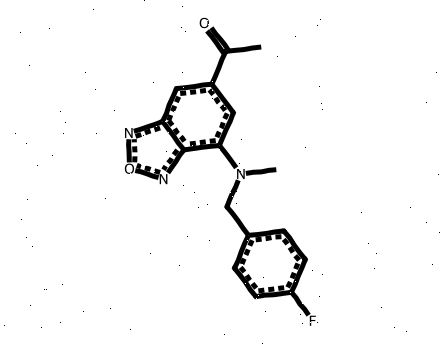 CC(=O)c1cc(N(C)Cc2ccc(F)cc2)c2nonc2c1